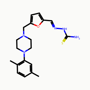 Cc1ccc(C)c(N2CCN(Cc3ccc(C=NNC(N)=S)o3)CC2)c1